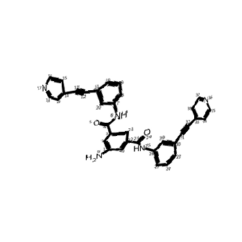 Nc1cc(C(=O)Nc2cccc(C#Cc3ccncc3)c2)cc(C(=O)Nc2cccc(C#Cc3ccncc3)c2)c1